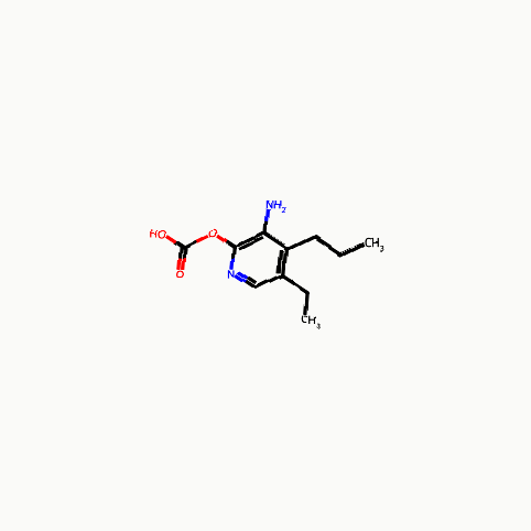 CCCc1c(CC)cnc(OC(=O)O)c1N